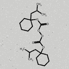 CC(C)CC1(OC(=O)OOC(=O)OC2(CC(C)C)CCCCC2)CCCCC1